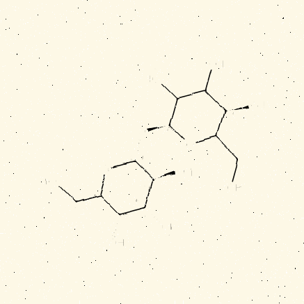 OCC1O[C@@H](O[C@H]2OC(CO)[C@@H](O)[C@@H](O)[C@@H]2O)C(O)C(O)[C@H]1O